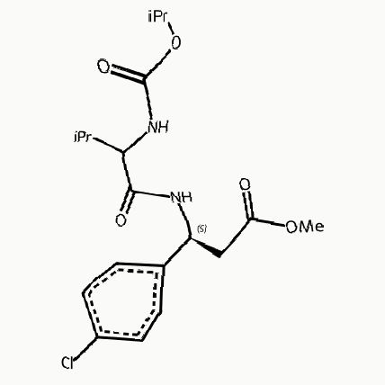 COC(=O)C[C@H](NC(=O)C(NC(=O)OC(C)C)C(C)C)c1ccc(Cl)cc1